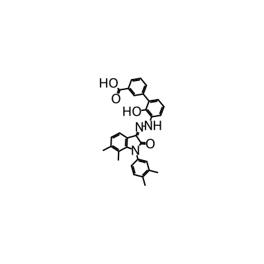 Cc1ccc(N2C(=O)C(=NNc3cccc(-c4cccc(C(=O)O)c4)c3O)c3ccc(C)c(C)c32)cc1C